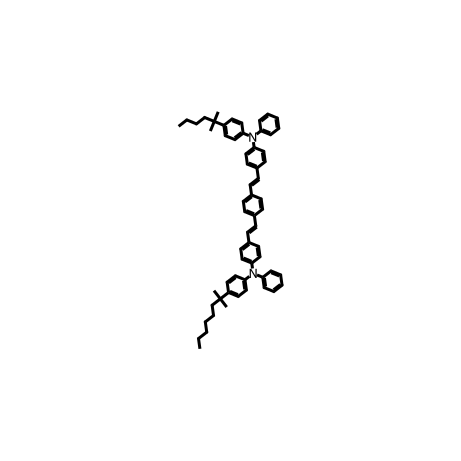 CCCCCCC(C)(C)c1ccc(N(c2ccccc2)c2ccc(/C=C/c3ccc(/C=C/c4ccc(N(c5ccccc5)c5ccc(C(C)(C)CCCC)cc5)cc4)cc3)cc2)cc1